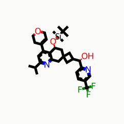 CC(C)c1cc(C2=CCOCC2)c2c(n1)CC1(CC([C@H](O)c3ccc(C(F)(F)F)cn3)C1)C[C@@H]2O[Si](C)(C)C(C)(C)C